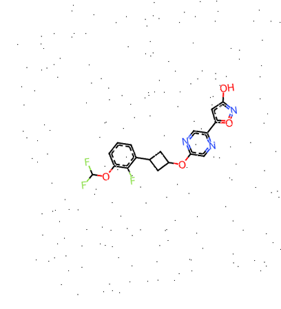 Oc1cc(-c2cnc(OC3CC(c4cccc(OC(F)F)c4F)C3)cn2)on1